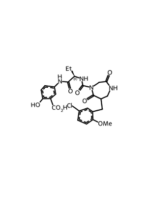 CC[C@@H](NC(=O)N1CC(=O)NCC(Cc2cc(Cl)ccc2OC)C1=O)C(=O)Nc1ccc(O)c(C(=O)O)c1